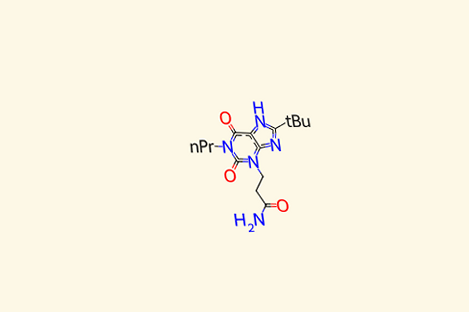 CCCn1c(=O)c2[nH]c(C(C)(C)C)nc2n(CCC(N)=O)c1=O